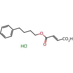 Cl.O=C(O)C=CC(=O)OCCCCc1ccccc1